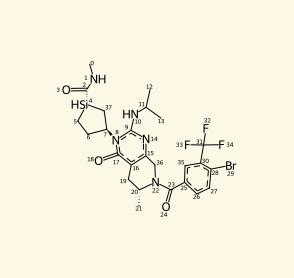 CNC(=O)[Si@H]1CC[C@H](n2c(NC(C)C)nc3c(c2=O)C[C@@H](C)N(C(=O)c2ccc(Br)c(C(F)(F)F)c2)C3)C1